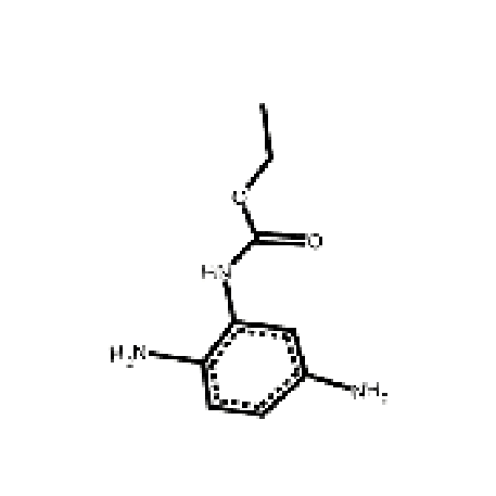 CCOC(=O)Nc1cc(N)ccc1N